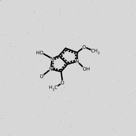 COc1cc2c(c(OC)[n+]([O-])n2O)n1O